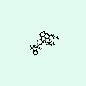 COc1cc2ncnc(N3CCN(S(=O)(=O)c4ccccc4C(F)(F)F)CC3)c2c(OC)c1OC